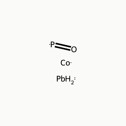 O=[P].[Co].[PbH2]